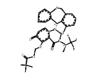 C[C@@H](N1CN([C@@H]2c3ccccc3SCc3cccc(Cl)c32)n2ccc(=O)c(OCOC(=O)C(C)(C)C)c2C1=O)C(F)(F)F